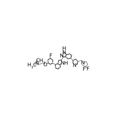 CN(C)CCOc1cc(F)cc(-c2cccc3[nH]c(-c4n[nH]c5ccc(-c6cncc(CN7CCC(F)(F)C7)c6)cc45)cc23)c1